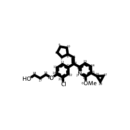 COc1nc(C(=CC2CCCC2)c2ccc(OCCCO)c(Cl)c2)ccc1C1CC1